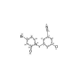 N#Cc1cc(Cl)cc(Cn2ccc(Br)cc2=O)c1